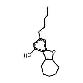 CCCCCc1cc(O)c2c(c1)OC1CCCCCC21